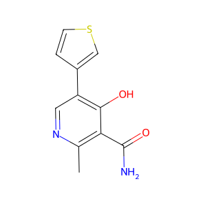 Cc1ncc(-c2ccsc2)c(O)c1C(N)=O